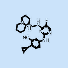 N#Cc1cc(Nc2ncc(F)c(NC[C@@H]3CCCN4CCCC[C@H]34)n2)ccc1C1CC1